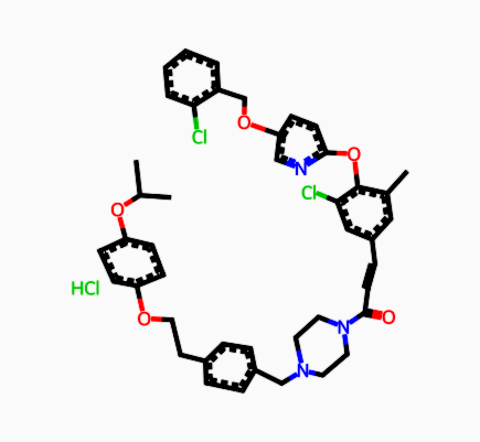 Cc1cc(C=CC(=O)N2CCN(Cc3ccc(CCOc4ccc(OC(C)C)cc4)cc3)CC2)cc(Cl)c1Oc1ccc(OCc2ccccc2Cl)cn1.Cl